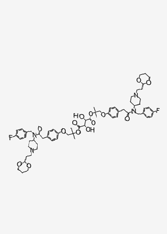 CC(C)(COc1ccc(CC(=O)N(Cc2ccc(F)cc2)C2CCN(CCC3OCCCO3)CC2)cc1)OC(=O)C(O)C(O)C(=O)OC(C)(C)COc1ccc(CC(=O)N(Cc2ccc(F)cc2)C2CCN(CCC3OCCCO3)CC2)cc1